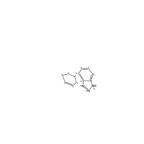 C1=CCCCC1.c1ccc2[nH]nnc2c1